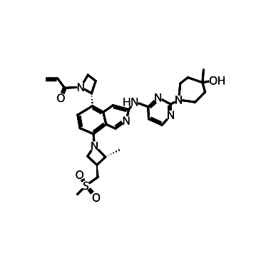 C=CC(=O)N1CC[C@@H]1c1ccc(N2C[C@H](CS(C)(=O)=O)[C@H]2C)c2cnc(Nc3ccnc(N4CCC(C)(O)CC4)n3)cc12